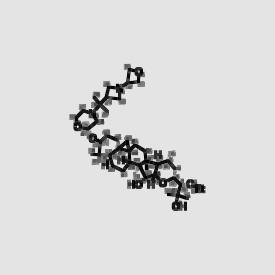 CCO[C@@H]([C@H]1C[C@@H](C)[C@H]2[C@H](O1)[C@H](O)[C@@]1(C)[C@@H]3CC[C@H]4C(C)(C)[C@@H](O[C@H]5CN(C(C)(C)C6CN(C7COC7)C6)CCO5)CC[C@@]45C[C@@]35CC[C@]21C)C(C)(C)O